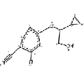 N#Cc1ccc(OC(CO)C2CC2)cc1Cl